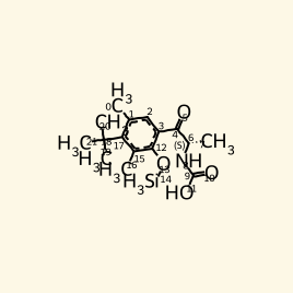 Cc1cc(C(=O)[C@H](C)NC(=O)O)c(O[SiH3])c(C)c1C(C)(C)C